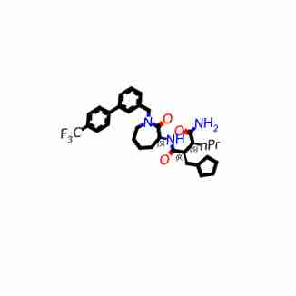 CCC[C@H](C(N)=O)[C@@H](CC1CCCC1)C(=O)N[C@H]1CCCCN(Cc2cccc(-c3ccc(C(F)(F)F)cc3)c2)C1=O